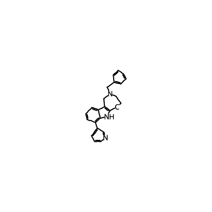 c1ccc(CN2CCCc3[nH]c4c(-c5cccnc5)cccc4c3C2)cc1